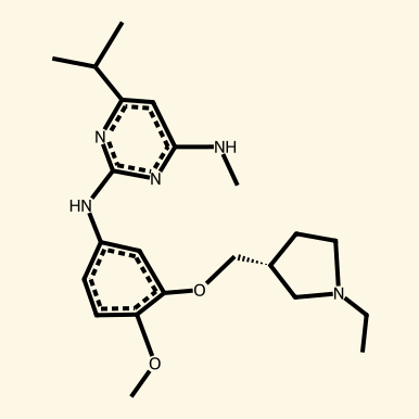 CCN1CC[C@@H](COc2cc(Nc3nc(NC)cc(C(C)C)n3)ccc2OC)C1